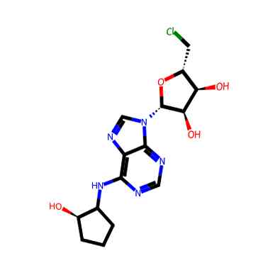 O[C@@H]1[C@H](O)[C@@H](CCl)O[C@H]1n1cnc2c(NC3CCC[C@H]3O)ncnc21